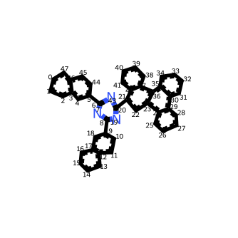 c1ccc2cc(-c3nc(-c4ccc5ccccc5c4)nc(-c4cc5c6ccccc6c6ccccc6c5c5ccccc45)n3)ccc2c1